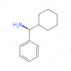 N[C@H](c1ccccc1)C1CCCCC1